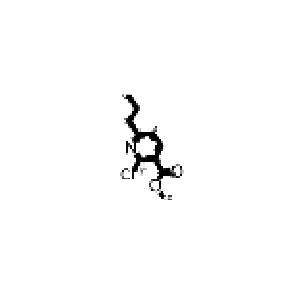 CCCc1ccc(C(=O)OC)c(Cl)n1